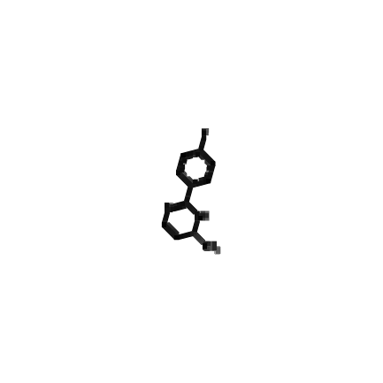 CC1C=CN=C(c2ccc(F)cc2)N1